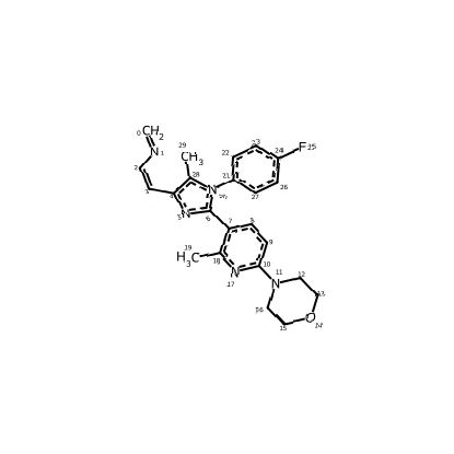 C=N/C=C\c1nc(-c2ccc(N3CCOCC3)nc2C)n(-c2ccc(F)cc2)c1C